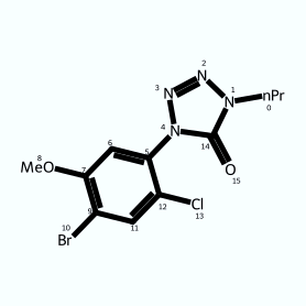 CCCn1nnn(-c2cc(OC)c(Br)cc2Cl)c1=O